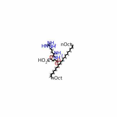 CCCCCCCC/C=C\CCCCCCCCC(CCCCCCC/C=C\CCCCCCCC)OC(=O)C(CCC(=O)O)NC(=O)C(N)CCCNC(=N)N